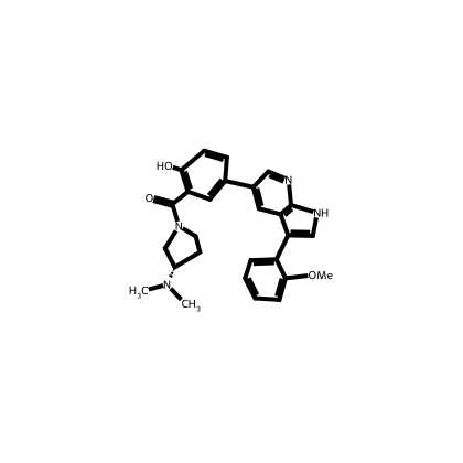 COc1ccccc1-c1c[nH]c2ncc(-c3ccc(O)c(C(=O)N4CC[C@H](N(C)C)C4)c3)cc12